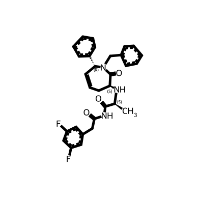 C[C@H](N[C@H]1CC=C[C@H](c2ccccc2)N(Cc2ccccc2)C1=O)C(=O)NC(=O)Cc1cc(F)cc(F)c1